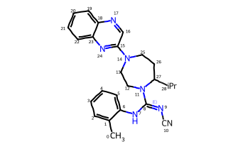 Cc1ccccc1N/C(=N\C#N)N1CCN(c2cnc3ccccc3n2)CCC1C(C)C